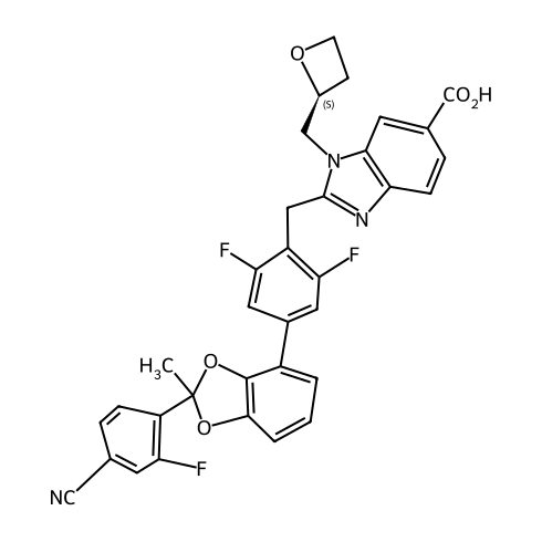 CC1(c2ccc(C#N)cc2F)Oc2cccc(-c3cc(F)c(Cc4nc5ccc(C(=O)O)cc5n4C[C@@H]4CCO4)c(F)c3)c2O1